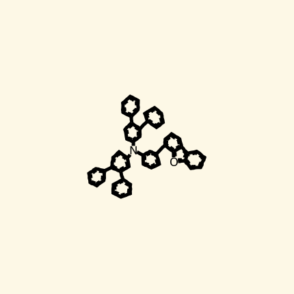 c1ccc(-c2ccc(N(c3cccc(-c4cccc5c4oc4ccccc45)c3)c3ccc(-c4ccccc4)c(-c4ccccc4)c3)cc2-c2ccccc2)cc1